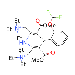 CC[N+](CC)(CC)CC1=C(C(=O)OC)C(c2ccccc2OC(F)F)C(C(=O)OC)=C(C[N+](CC)(CC)CC)N1